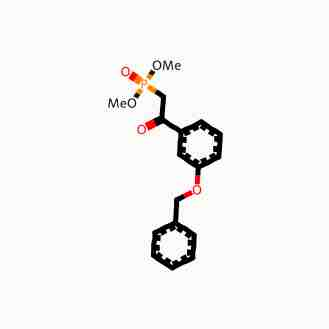 COP(=O)(CC(=O)c1cccc(OCc2ccccc2)c1)OC